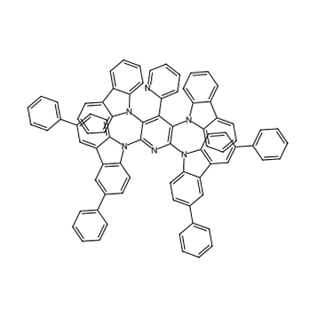 c1ccc(-c2ccc3c(c2)c2cc(-c4ccccc4)ccc2n3-c2nc(-n3c4ccc(-c5ccccc5)cc4c4cc(-c5ccccc5)ccc43)c(-n3c4ccccc4c4ccccc43)c(-c3ccccn3)c2-n2c3ccccc3c3ccccc32)cc1